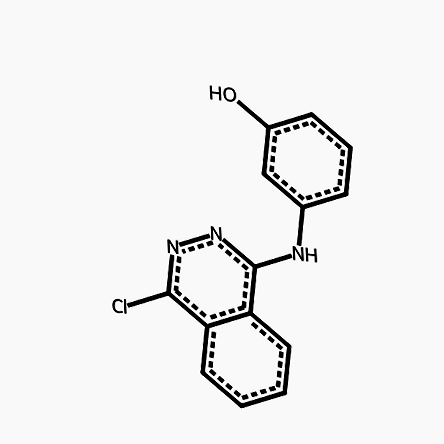 Oc1cccc(Nc2nnc(Cl)c3ccccc23)c1